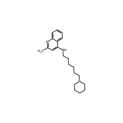 Cc1cc(NCCCCCCN2CCCCC2)c2ccccc2n1